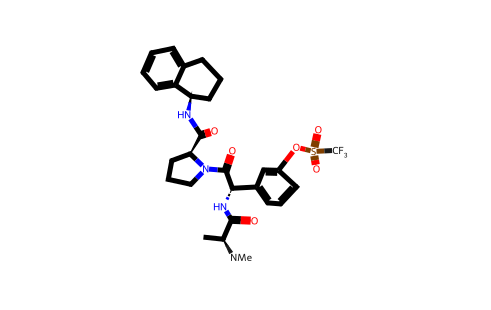 CN[C@@H](C)C(=O)N[C@H](C(=O)N1CCC[C@H]1C(=O)N[C@@H]1CCCc2ccccc21)c1cccc(OS(=O)(=O)C(F)(F)F)c1